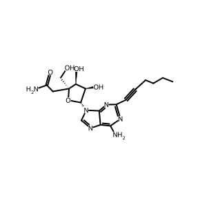 CCCCC#Cc1nc(N)c2ncn([C@@H]3O[C@@](CO)(CC(N)=O)[C@@H](O)[C@H]3O)c2n1